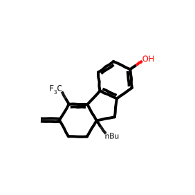 C=C1CCC2(CCCC)Cc3cc(O)ccc3C2=C1C(F)(F)F